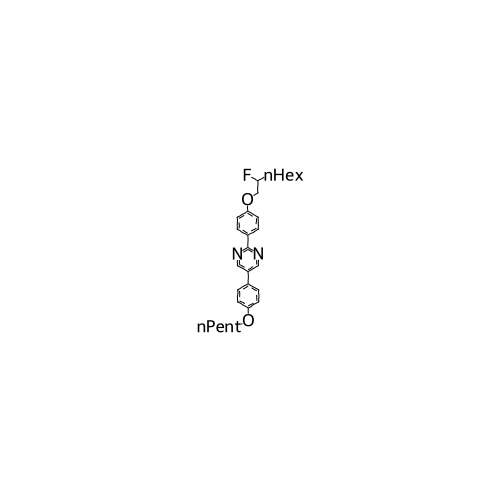 CCCCCCC(F)COc1ccc(-c2ncc(-c3ccc(OCCCCC)cc3)cn2)cc1